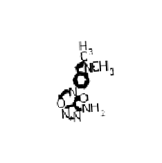 Cc1cc2cc(N3CCOC4N=CN=C(N)C4C3=O)ccc2n1C